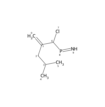 C=C(CC(C)C)C(Cl)P=N